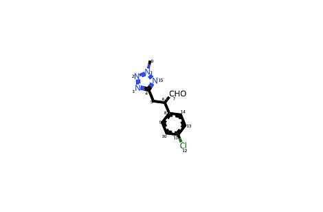 Cn1nnc(CC(C=O)c2ccc(Cl)cc2)n1